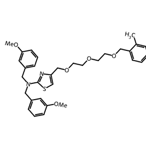 COc1cccc(CN(Cc2cccc(OC)c2)c2nc(COCCOCCOCc3ccccc3C)cs2)c1